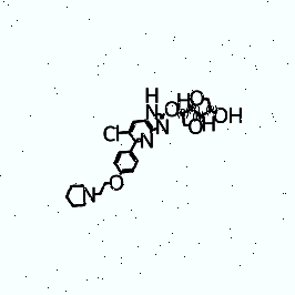 O[C@@H]1CO[C@H]2[C@@H]1OC[C@H]2Oc1nc2nc(-c3ccc(OCCN4CCCCC4)cc3)c(Cl)cc2[nH]1